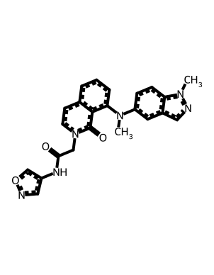 CN(c1ccc2c(cnn2C)c1)c1cccc2ccn(CC(=O)Nc3cnoc3)c(=O)c12